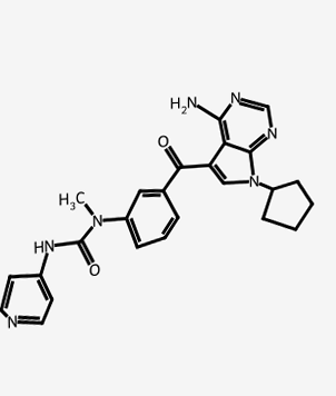 CN(C(=O)Nc1ccncc1)c1cccc(C(=O)c2cn(C3CCCC3)c3ncnc(N)c23)c1